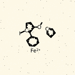 COc1cc[c-](I)c1-c1ccccc1.[Fe+2].c1cc[cH-]c1